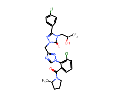 O=C(c1cccc(Cl)c1-n1cnc(Cn2nc(-c3ccc(Cl)cc3)n(C[C@H](O)C(F)(F)F)c2=O)n1)N1CCC[C@H]1C(F)(F)F